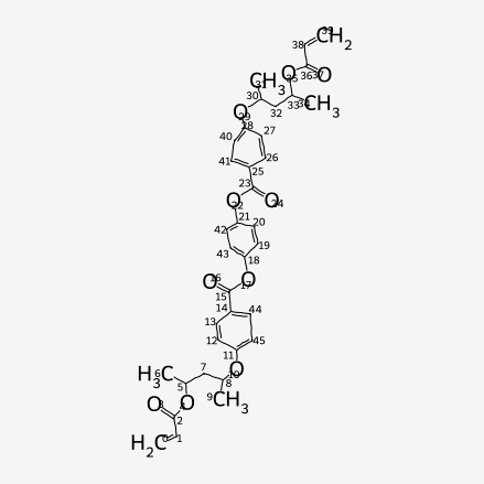 C=CC(=O)OC(C)CC(C)Oc1ccc(C(=O)Oc2ccc(OC(=O)c3ccc(OC(C)CC(C)OC(=O)C=C)cc3)cc2)cc1